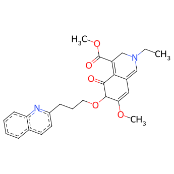 CCN1C=C2C=C(OC)C(OCCCc3ccc4ccccc4n3)C(=O)C2=C(C(=O)OC)C1